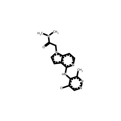 Cc1nncc(Cl)c1Nc1nccc2c1ccn2CC(=O)N(C)C